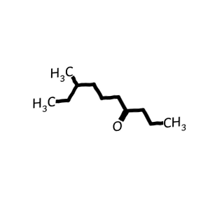 CCCC(=O)CCCC(C)CC